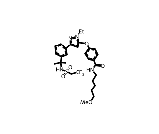 CCn1nc(-c2cccc(C(C)(C)NS(=O)(=O)CC(F)(F)F)c2)cc1Oc1ccc(C(=O)NCCCCCOC)cc1